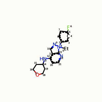 CC[N+]1(c2ccc(F)cc2)N=Cc2c(NC3CCOCC3)ccnc21